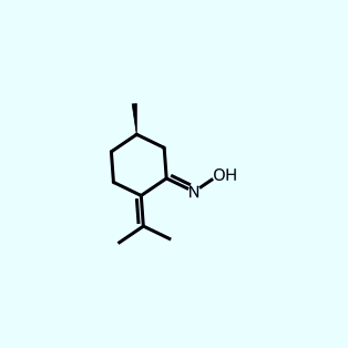 CC(C)=C1CC[C@@H](C)C/C1=N\O